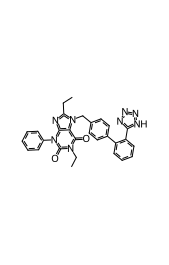 CCc1nc2c(c(=O)n(CC)c(=O)n2-c2ccccc2)n1Cc1ccc(-c2ccccc2-c2nnn[nH]2)cc1